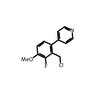 COc1ccc(-c2ccncc2)c(CCl)c1F